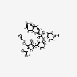 O=CCOc1c(C(=O)O)sc(-c2cccc(N(C3CCNCC3)S(=O)(=O)c3ccc4ccccc4c3)c2)c1Br